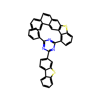 c1ccc(-c2nc(-c3ccc4c(c3)sc3ccccc34)nc(-c3cccc4sc5cc6ccc7ccccc7c6cc5c34)n2)cc1